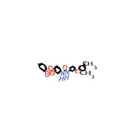 CC1=CCC(C)(Oc2cccc(NC(=O)Nc3cccc(OS(=O)(=O)c4ccccc4)c3)c2)C=C1